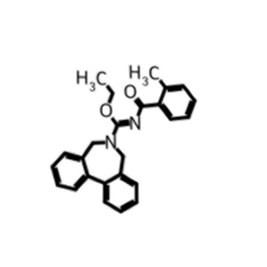 CCOC(=NC(=O)c1ccccc1C)N1Cc2ccccc2-c2ccccc2C1